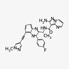 C[C@@H](NC(=O)c1c(N)nn2cccnc12)c1nc2cccc(C#Cc3cnn(C)c3)c2nc1-c1ccc(F)cc1